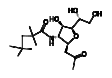 CC(=O)C[C@@H]1O[C@H]([C@H](O)CO)[C@H](O)[C@H]1NC(=O)C(C)(C)CC(C)(C)C